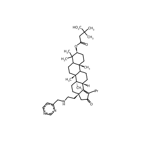 CC(C)C1=C2[C@H]3CCC4[C@@]5(C)CC[C@H](OC(=O)CC(C)(C)C(=O)O)C(C)(C)C5CC[C@@]4(C)[C@]3(C)CC[C@@]2(CCNCc2ccncn2)CC1=O